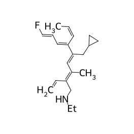 C=C/C(CNCC)=C(C)\C=C(/CC1CC1)C(=C/C=C/F)/C=C\C